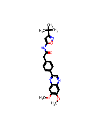 COc1cc2ncc(-c3ccc(CC(=O)Nc4cc(C(C)(C)C)no4)cc3)nc2cc1OC